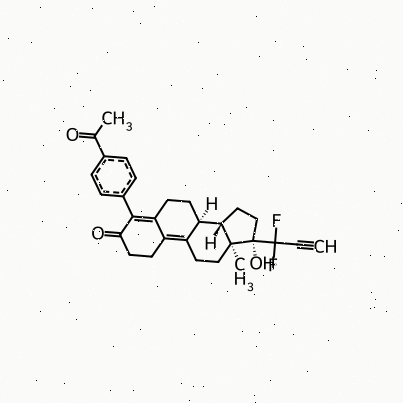 C#CC(F)(F)[C@]1(O)CC[C@H]2[C@@H]3CCC4=C(c5ccc(C(C)=O)cc5)C(=O)CCC4=C3CC[C@@]21C